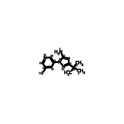 CC(C)(C)c1cc(N)n(-c2cncc(F)c2)n1